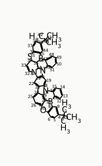 CC(C)(C)c1ccc2c(c1)B1c3ccccc3-n3c4cc5c(cc4c4ccc(c1c43)O2)N1C=CC2Sc3ccc(C(C)(C)C)cc3B3c4ccccc4N5C1C32